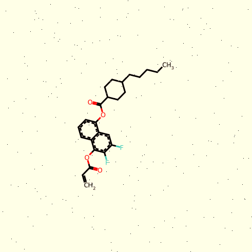 C=CC(=O)Oc1c(F)c(F)cc2c(OC(=O)C3CCC(CCCCC)CC3)cccc12